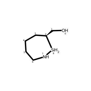 OC[C@@H]1CCCCN[SiH2]1